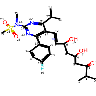 CC(C)C(=O)CC(O)CC(O)/C=C/c1c(-c2ccc(F)cc2)nc(N(C)S(C)(=O)=O)nc1C(C)C